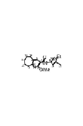 CCn1nc(NC(=O)c2cc3c(nc2OC)CCCCC3)cc1C